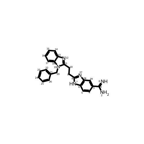 N=C(N)c1ccc2[nH]c(CCc3nc4ccccc4n3Cc3ccccc3)nc2c1